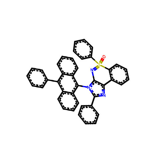 O=S1(c2ccccc2)=Nc2c(nc(-c3ccccc3)n2-c2c3ccccc3c(-c3ccccc3)c3ccccc23)-c2ccccc21